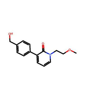 COCCn1cccc(-c2ccc(CO)cc2)c1=O